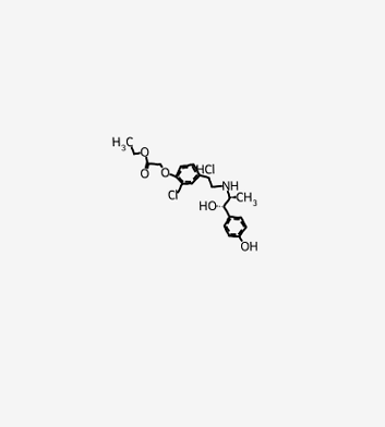 CCOC(=O)COc1ccc(CCN[C@@H](C)[C@@H](O)c2ccc(O)cc2)cc1Cl.Cl